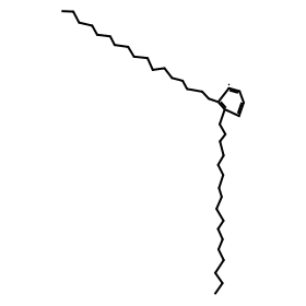 CCCCCCCCCCCCCCCCCc1[c]cccc1CCCCCCCCCCCCCCCCC